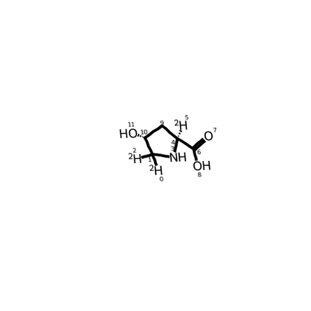 [2H]C1([2H])N[C@]([2H])(C(=O)O)C[C@H]1O